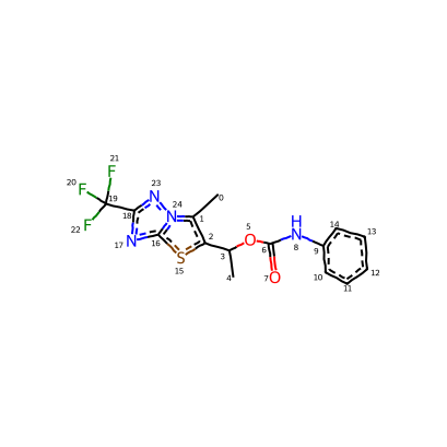 Cc1c(C(C)OC(=O)Nc2ccccc2)sc2nc(C(F)(F)F)nn12